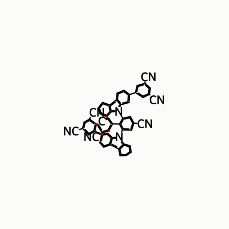 N#Cc1cc(C#N)cc(-c2ccc3c4ccccc4n(-c4cc(C#N)cc(-n5c6ccccc6c6ccc(-c7cc(C#N)cc(C#N)c7)cc65)c4-c4cccc(C#N)c4)c3c2)c1